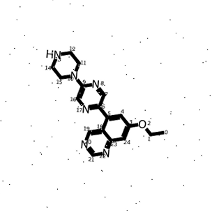 CCOc1cc(-c2cnc(N3CCNCC3)cn2)c2cncnc2c1